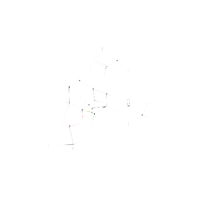 O=C(OC12C(F)C3(OC(=O)C(F)(C(F)(F)F)C(F)(F)F)C(F)(F)C(F)(C1(F)F)C(F)(F)C(OC(=O)C(F)(C(F)(F)F)C(F)(F)F)(C2(F)F)C3(F)F)C(F)(C(F)(F)F)C(F)(F)F